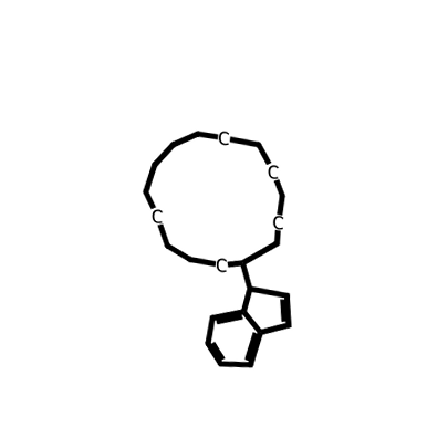 C1=CC(C2CCCCCCCCCCCCCC2)c2ccccc21